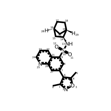 Cc1noc(C)c1-c1cc(S(=O)(=O)N[C@H]2C[C@H]3CC[C@H]2C3)c2cccnc2c1